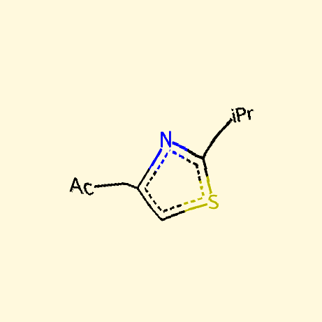 CC(=O)c1csc(C(C)C)n1